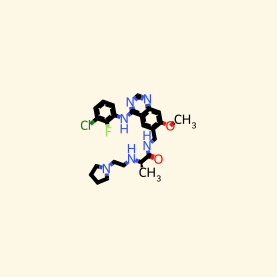 COc1cc2ncnc(Nc3cccc(Cl)c3F)c2cc1CNC(=O)[C@@H](C)NCCN1CCCC1